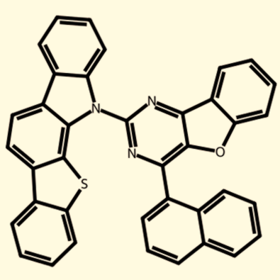 c1ccc2c(-c3nc(-n4c5ccccc5c5ccc6c7ccccc7sc6c54)nc4c3oc3ccccc34)cccc2c1